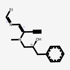 C#C/C(=C/N=C\CC)N(C)C[C@@H](O)Cc1ccccc1